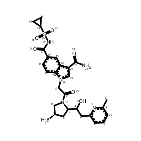 B[C@@H]1CC(C(O)Cc2cccc(C)n2)N(C(=O)Cn2cc(C(N)=O)c3cc(C(=O)NS(=O)(=O)C4CC4)ccc32)C1